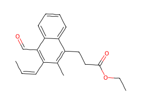 C/C=C\c1c(C)c(CCC(=O)OCC)c2ccccc2c1C=O